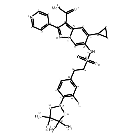 CNC(=O)c1c(-c2ccncc2)nn2cc(NS(=O)(=O)CCc3ccc(B4OC(C)(C)C(C)(C)O4)c(F)c3)c(C3CC3)cc12